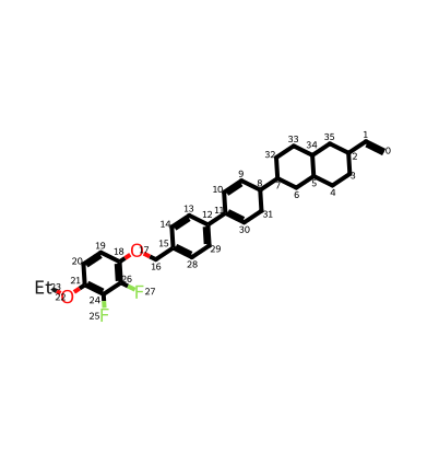 C=CC1CCC2CC(C3C=CC(c4ccc(COc5ccc(OCC)c(F)c5F)cc4)=CC3)CCC2C1